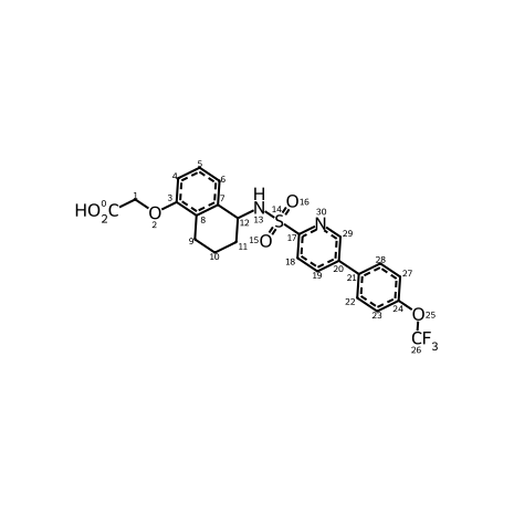 O=C(O)COc1cccc2c1CCCC2NS(=O)(=O)c1ccc(-c2ccc(OC(F)(F)F)cc2)cn1